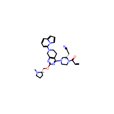 C=CC(=O)N1CCN(c2nc(OC[C@@H]3CCCN3C)nc3c2CCN(c2cccc4cccn24)C3)C[C@@H]1CC#N